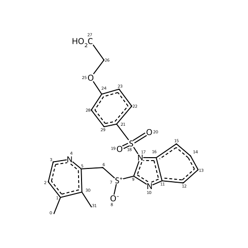 Cc1ccnc(C[S+]([O-])c2nc3ccccc3n2S(=O)(=O)c2ccc(OCC(=O)O)cc2)c1C